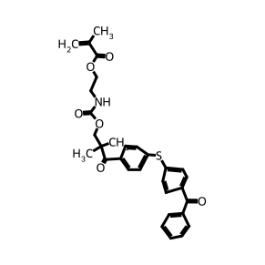 C=C(C)C(=O)OCCNC(=O)OCC(C)(C)C(=O)c1ccc(Sc2ccc(C(=O)c3ccccc3)cc2)cc1